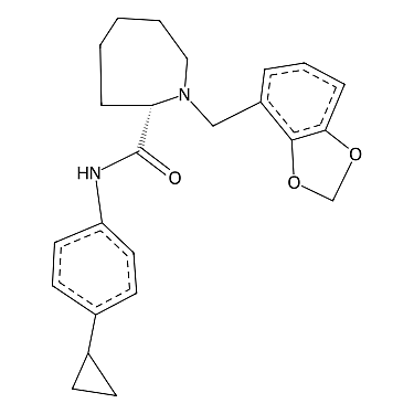 O=C(Nc1ccc(C2CC2)cc1)[C@@H]1CCCCCN1Cc1cccc2c1OCO2